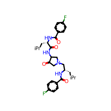 CC(C)C[C@@H](CN1CC(=O)C(NC(=O)[C@H](CC(C)C)NC(=O)c2ccc(F)cc2)C1)NC(=O)c1ccc(F)cc1